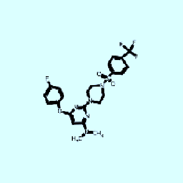 CN(C)c1cc(Oc2ccc(F)cc2)nc(N2CCN(S(=O)(=O)c3ccc(C(F)(F)F)cc3)CC2)n1